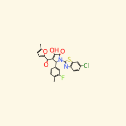 Cc1ccc(C(=O)C2=C(O)C(=O)N(c3nc4ccc(Cl)cc4s3)C2c2ccc(C)c(F)c2)o1